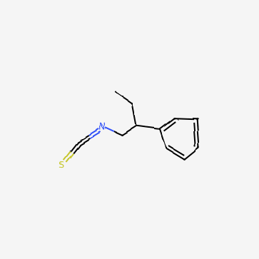 CCC(CN=C=S)c1ccccc1